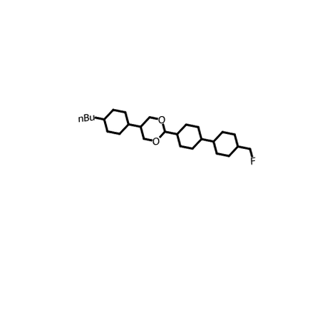 CCCCC1CCC(C2COC(C3CCC(C4CCC(CF)CC4)CC3)OC2)CC1